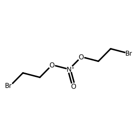 O=[N+](OCCBr)OCCBr